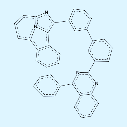 c1ccc(-c2nc(-c3cccc(-c4cccc(-c5nc6cccc7c8ccccc8c5n67)c4)c3)nc3ccccc23)cc1